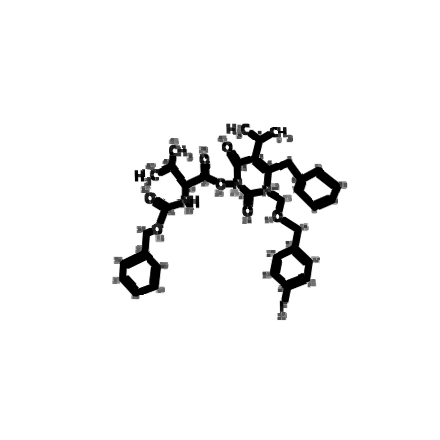 CC(C)c1c(Cc2ccccc2)n(COCc2ccc(F)cc2)c(=O)n(OC(=O)C(NC(=O)OCc2ccccc2)C(C)C)c1=O